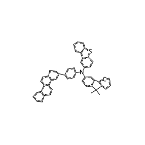 CC1(C)c2ccccc2-c2cc(N(c3ccc(-c4ccc5ccc6c7ccccc7ccc6c5c4)cc3)c3ccc4sc5ccccc5c4c3)ccc21